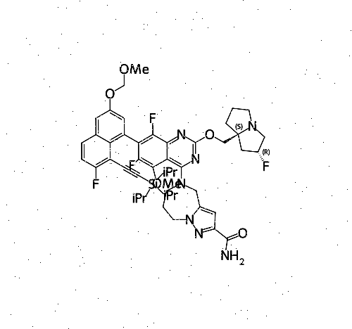 COCOc1cc(-c2c(F)c(OC)c3c(N4CCCn5nc(C(N)=O)cc5C4)nc(OC[C@@]45CCCN4C[C@H](F)C5)nc3c2F)c2c(C#C[Si](C(C)C)(C(C)C)C(C)C)c(F)ccc2c1